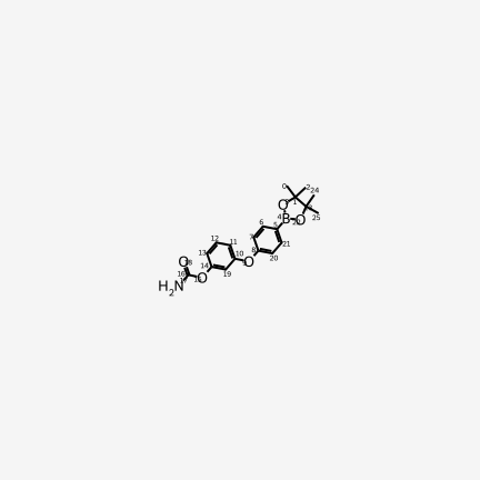 CC1(C)OB(c2ccc(Oc3cccc(OC(N)=O)c3)cc2)OC1(C)C